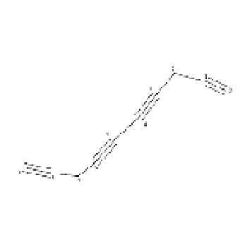 C#CCC#CC#CCC#C